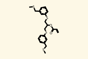 C=CC(=O)OC(CSc1cccc(CSC)c1)CSc1cccc(CSC)c1